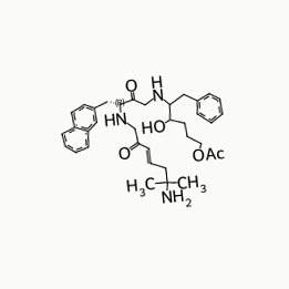 CC(=O)OCCCC(O)C(Cc1ccccc1)NCC(=O)[C@@H](Cc1ccc2ccccc2c1)NCC(=O)C=CCC(C)(C)N